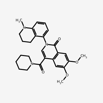 COc1cc2c(C(=O)N3CCCCC3)cn(-c3cccc4c3CCCN4C)c(=O)c2cc1OC